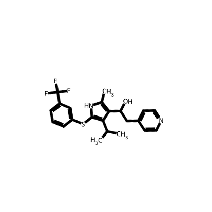 Cc1[nH]c(Sc2cccc(C(F)(F)F)c2)c(C(C)C)c1C(O)Cc1ccncc1